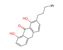 CC(C)CCCc1ccc2c(c1O)C(=O)c1c(O)cccc1C2